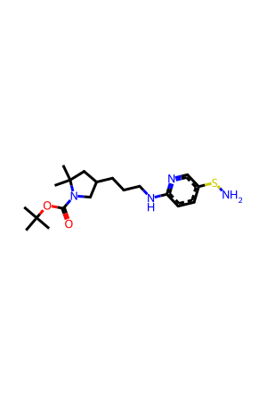 CC(C)(C)OC(=O)N1CC(CCCNc2ccc(SN)cn2)CC1(C)C